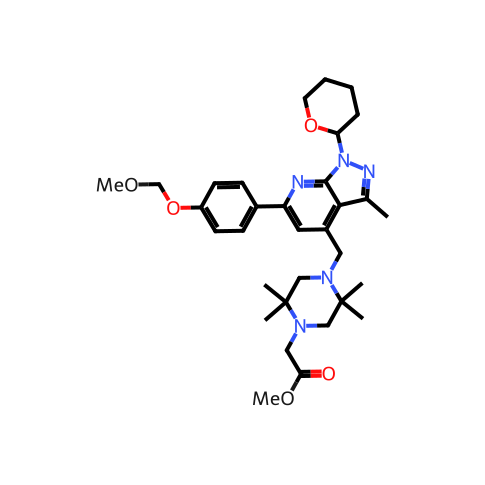 COCOc1ccc(-c2cc(CN3CC(C)(C)N(CC(=O)OC)CC3(C)C)c3c(C)nn(C4CCCCO4)c3n2)cc1